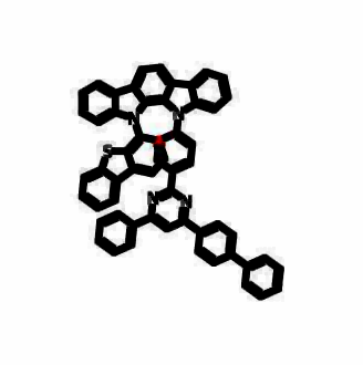 c1ccc(-c2ccc(-c3cc(-c4ccccc4)nc(-c4ccc(-n5c6ccccc6c6ccc7c8ccccc8n(-c8cccc9c8sc8ccccc89)c7c65)cc4)n3)cc2)cc1